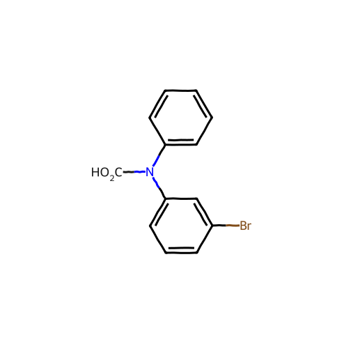 O=C(O)N(c1ccccc1)c1cccc(Br)c1